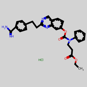 CCOC(=O)CCN(C(=O)Oc1ccc2cnc(CCc3ccc(C(=N)N)cc3)nc2c1)c1ccccc1.Cl